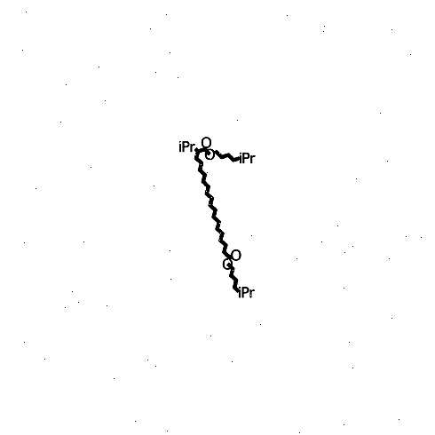 CC(C)CCCCOC(=O)CCCCCCCCCCCCCCCCCC(C(=O)OCCCCC(C)C)C(C)C